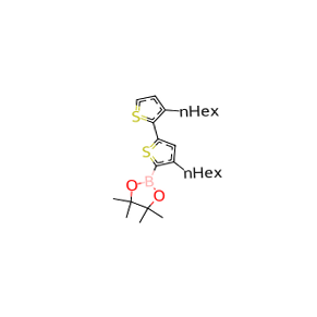 CCCCCCc1cc(-c2sccc2CCCCCC)sc1B1OC(C)(C)C(C)(C)O1